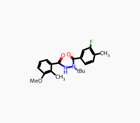 COc1cccc(C(=O)NN(C(=O)c2ccc(C)c(F)c2)C(C)(C)C)c1C